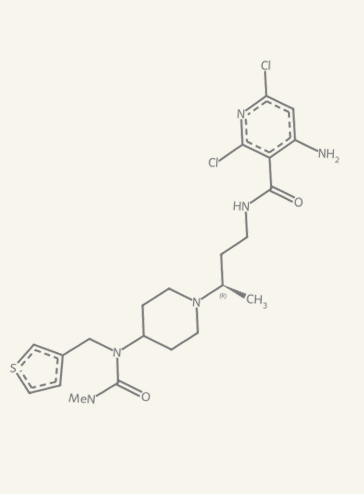 CNC(=O)N(Cc1ccsc1)C1CCN([C@H](C)CCNC(=O)c2c(N)cc(Cl)nc2Cl)CC1